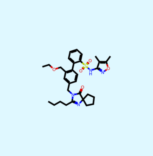 CCCCC1=NC2(CCCC2)C(=O)N1Cc1ccc(-c2ccccc2S(=O)(=O)Nc2noc(C)c2C)c(COCC)c1